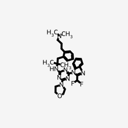 CN(C)CCCc1ccccc1CC(C)(C)Nc1nc(N2CCOCC2)nc(-n2c(C(F)F)nc3ccccc32)n1